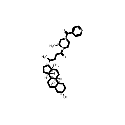 CC(CCC(=O)N1CCN(C(=O)c2ccncc2)C[C@@H]1C)[C@H]1CC[C@H]2[C@@H]3CC=C4C[C@@H](O)CC[C@]4(C)[C@H]3CC[C@]12C